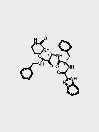 O=C(NCc1ccccc1)C(=O)[C@H](C[C@@H]1CCCNC1=O)NC(=O)[C@H](Cc1ccccc1)NC(=O)c1nc2ccccc2[nH]1